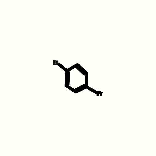 CCc1ccc(C(C)C)cc1